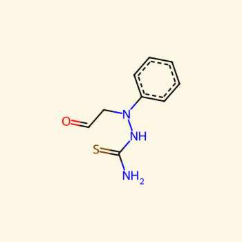 NC(=S)NN(CC=O)c1ccccc1